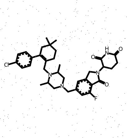 CC1CN(Cc2cc(F)c3c(c2)CN(C2CCC(=O)NC2=O)C3=O)CC(C)N1CC1=C(c2ccc(Cl)cc2)CC(C)(C)CC1